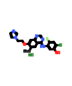 COc1cc2c(Nc3cc(O)c(Cl)cc3F)ncnc2cc1OCCn1ccnc1.Cl